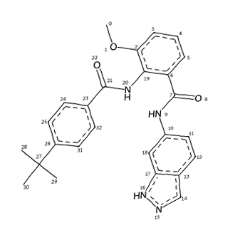 COc1cccc(C(=O)Nc2ccc3cn[nH]c3c2)c1NC(=O)c1ccc(C(C)(C)C)cc1